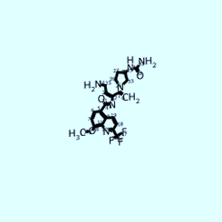 C=C(c1nc(-c2ccc(OC)c3nc(C(F)(F)F)ccc23)oc1CN)N1CC[C@@H](NC(N)=O)C1